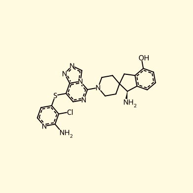 Nc1nccc(Sc2cnc(N3CCC4(CC3)Cc3c(O)cccc3[C@H]4N)n3cnnc23)c1Cl